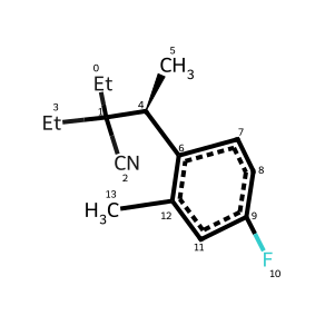 CCC(C#N)(CC)[C@@H](C)c1ccc(F)cc1C